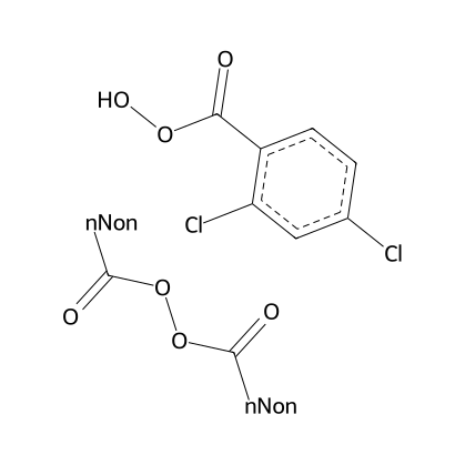 CCCCCCCCCC(=O)OOC(=O)CCCCCCCCC.O=C(OO)c1ccc(Cl)cc1Cl